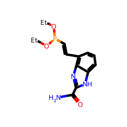 CCOP(C=Cc1cccc2[nH]c(C(N)=O)nc12)OCC